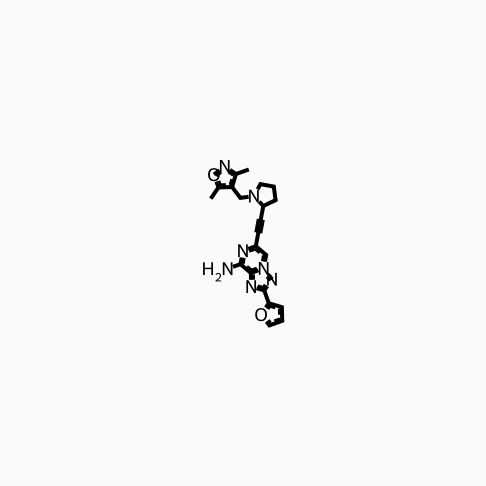 Cc1noc(C)c1CN1CCCC1C#Cc1cn2nc(-c3ccco3)nc2c(N)n1